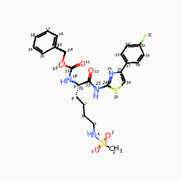 CS(=O)(=O)NCCCC[C@H](NC(=O)OCc1ccccc1)C(=O)Nc1nc(-c2ccc(F)cc2)cs1